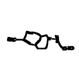 O=CBN1CCc2cc(C=O)ccc2C1